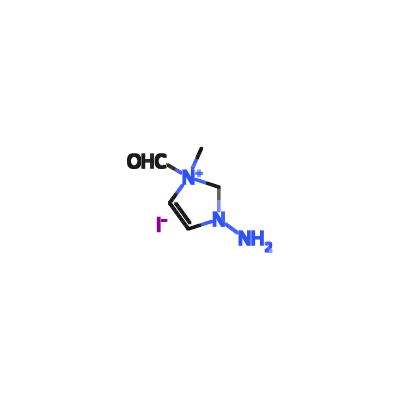 C[N+]1(C=O)C=CN(N)C1.[I-]